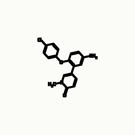 Cn1cc(-c2cc(N)ccc2Oc2ccc(Cl)cc2)ccc1=O